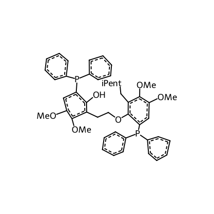 CCCC(C)Cc1c(OC)c(OC)cc(P(c2ccccc2)c2ccccc2)c1OCCc1c(O)c(P(c2ccccc2)c2ccccc2)cc(OC)c1OC